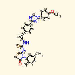 Cc1ccc(C(C)C)c(N2C(=O)CS/C2=N\C(=S)NC2CC2c2ccc(-c3ncn(-c4ccc(OC(F)(F)F)cc4)n3)cc2)c1